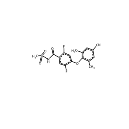 Cc1cc(C#N)cc(C)c1Oc1cc(F)c(C(=O)NS(C)(=O)=O)cc1F